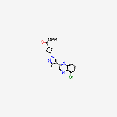 COC(=O)[C@H]1C[C@H](n2cc(-c3cnc4c(Br)cccc4n3)c(C)n2)C1